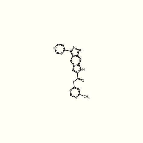 Cc1nccc(CC(=O)c2cc3cc4c(-c5ccncc5)n[nH]c4cc3[nH]2)n1